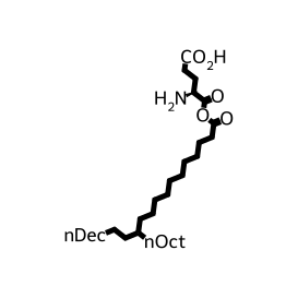 CCCCCCCCCCCCC(CCCCCCCC)CCCCCCCCCCC(=O)OC(=O)[C@@H](N)CCC(=O)O